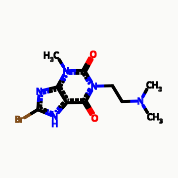 CN(C)CCn1c(=O)c2[nH]c(Br)nc2n(C)c1=O